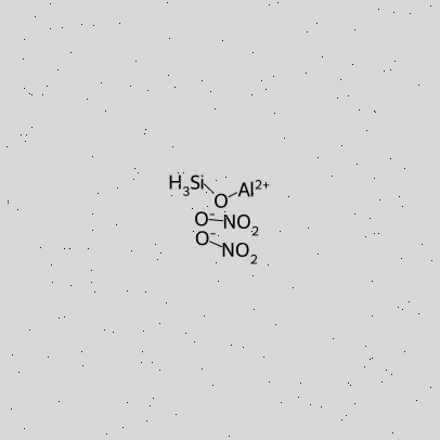 O=[N+]([O-])[O-].O=[N+]([O-])[O-].[Al+2][O][SiH3]